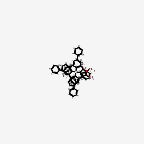 CC1=C(C)C(C)C([Si](c2c(C)cc(-c3ccccc3)cc2-c2ccccc2)(c2c(C)cc(-c3ccccc3)cc2-c2ccccc2)c2c(C)cc(-c3ccccc3)cc2-c2ccccc2)=C1C